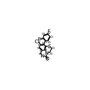 O=c1ncc2cc(Cl)c(-c3ccc(F)cc3F)c3c2n1CCS3